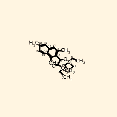 CCOC(=O)C(O[Si](CC)(CC)CC)c1c(C)cc2cc(C)ccc2c1O